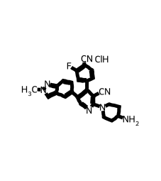 Cl.Cn1cc2cc(-c3cnc(N4CCC(N)CC4)c(C#N)c3-c3ccc(C#N)c(F)c3)ccc2n1